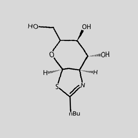 CCCCC1=N[C@@H]2[C@@H](O)[C@H](O)C(CO)O[C@@H]2S1